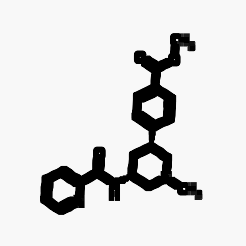 COC(=O)c1ccc([C@H]2C[C@@H](NC(=O)c3ccccn3)CN(C)C2)cc1